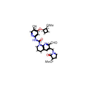 COC1CCN(Cc2cc3c(nc2C=O)N(C(=O)Nc2cc(O[C@@H]4CC[C@@H]4OC)c(C#N)cn2)CCC3)C1=O